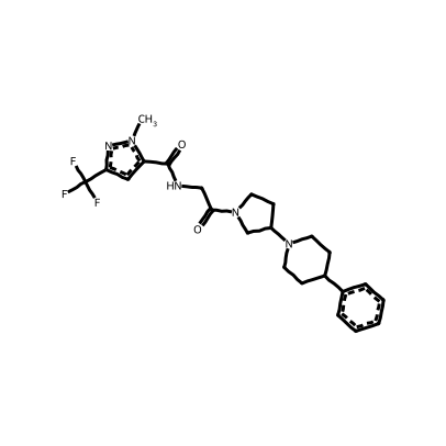 Cn1nc(C(F)(F)F)cc1C(=O)NCC(=O)N1CCC(N2CCC(c3ccccc3)CC2)C1